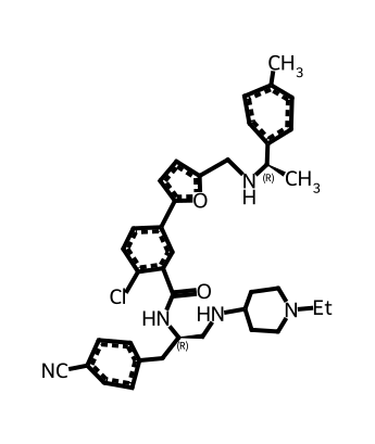 CCN1CCC(NC[C@@H](Cc2ccc(C#N)cc2)NC(=O)c2cc(-c3ccc(CN[C@H](C)c4ccc(C)cc4)o3)ccc2Cl)CC1